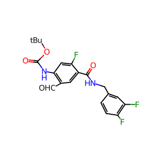 CC(C)(C)OC(=O)Nc1cc(F)c(C(=O)NCc2ccc(F)c(F)c2)cc1C=O